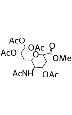 COC(=O)[C@@]1(OC(C)=O)C[C@H](OC(C)=O)[C@@H](NC(C)=O)[C@H](C[C@@H](COC(C)=O)OC(C)=O)O1